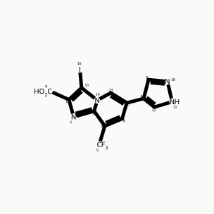 O=C(O)c1nc2c(C(F)(F)F)cc(-c3cn[nH]c3)cn2c1I